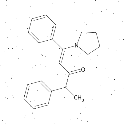 CC(C(=O)C=C(c1ccccc1)N1CCCC1)c1ccccc1